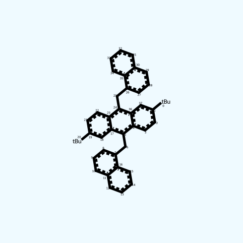 CC(C)(C)c1ccc2c(Cc3cccc4ccccc34)c3cc(C(C)(C)C)ccc3c(Cc3cccc4ccccc34)c2c1